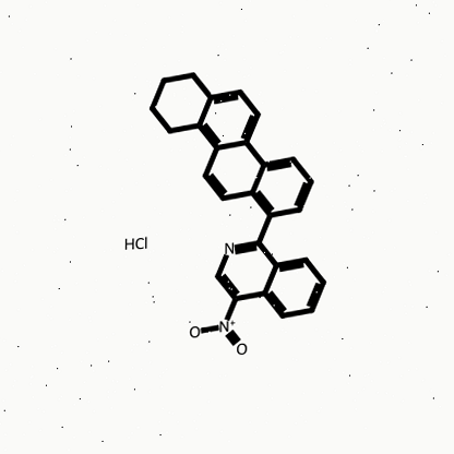 Cl.O=[N+]([O-])c1cnc(-c2cccc3c2ccc2c4c(ccc23)CCCC4)c2ccccc12